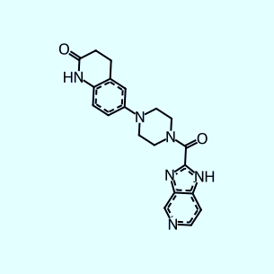 O=C1CCc2cc(N3CCN(C(=O)c4nc5cnccc5[nH]4)CC3)ccc2N1